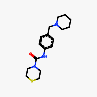 O=C(Nc1ccc(CN2CCCCC2)cc1)N1CCSCC1